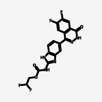 O=C(Nc1nc2cc(-c3n[nH]c(=O)c4cc(F)c(F)cc34)ccc2[nH]1)OCC(F)F